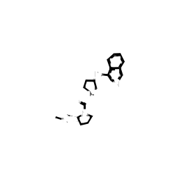 CN=C[C@@H]1CCCN1C(=O)CN1CC[C@H](Nc2cncc3ccccc23)C1